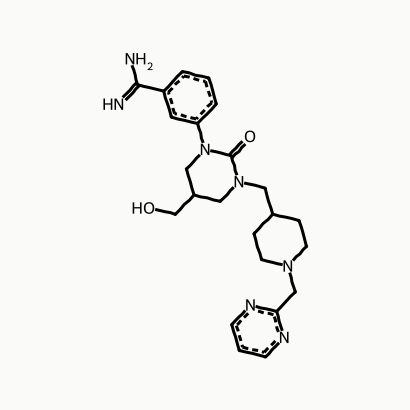 N=C(N)c1cccc(N2CC(CO)CN(CC3CCN(Cc4ncccn4)CC3)C2=O)c1